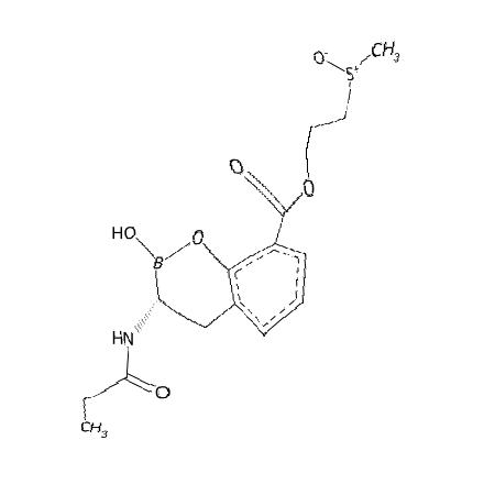 CCC(=O)N[C@H]1Cc2cccc(C(=O)OCC[S+](C)[O-])c2OB1O